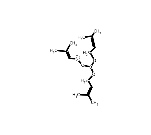 CC(C)=C[SiH2]OB(O[SiH2]C=C(C)C)O[SiH2]C=C(C)C